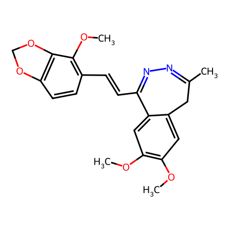 COc1cc2c(cc1OC)C(/C=C/c1ccc3c(c1OC)OCO3)=NN=C(C)C2